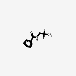 O=C(NCC(F)(F)C(F)(F)F)c1ccccc1